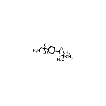 CC(C)(C)OC(=O)N1CCC(C(C)(C)CN)CC1